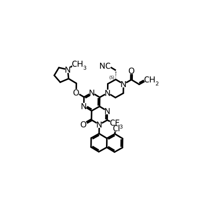 C=CC(=O)N1CCN(c2nc(OCC3CCCN3C)nc3c(=O)n(-c4cccc5cccc(Cl)c45)c(C(F)(F)F)nc23)C[C@@H]1CC#N